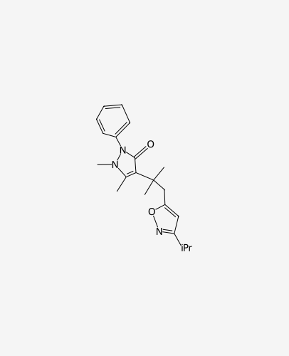 Cc1c(C(C)(C)Cc2cc(C(C)C)no2)c(=O)n(-c2ccccc2)n1C